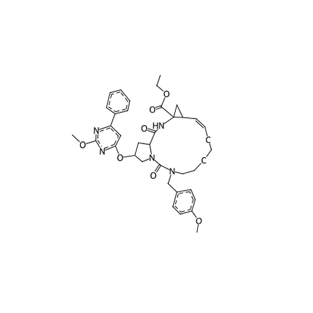 CCOC(=O)C12CC1C=CCCCCCN(Cc1ccc(OC)cc1)C(=O)N1CC(Oc3cc(-c4ccccc4)nc(OC)n3)CC1C(=O)N2